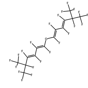 FC(OC(F)=C(F)C(F)=C(F)C(F)(C(F)(F)F)C(F)(F)F)=C(F)C(F)=C(F)C(F)(C(F)(F)F)C(F)(F)F